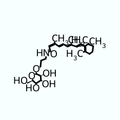 CC1=C(/C=C/C(C)=C/C=C/C(C)=C\C(=O)NCCCO[C@@H]2O[C@H](CO)[C@H](O)[C@H](O)[C@H]2O)C(C)(C)CCC1